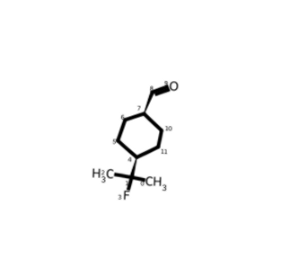 CC(C)(F)[C@H]1CC[C@@H](C=O)CC1